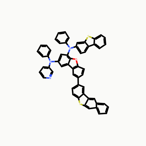 c1ccc(N(c2cccnc2)c2cc(N(c3ccccc3)c3ccc4c(c3)sc3ccccc34)c3oc4ccc(-c5ccc6sc7cc8ccccc8cc7c6c5)cc4c3c2)cc1